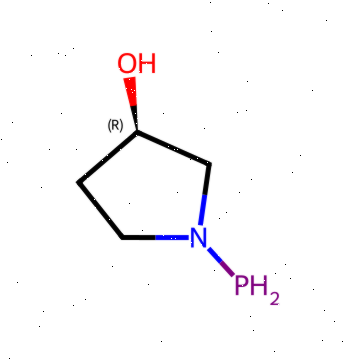 O[C@@H]1CCN(P)C1